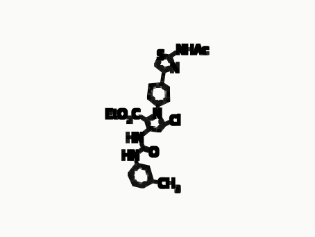 CCOC(=O)c1c(NC(=O)Nc2cccc(C)c2)cc(Cl)n1-c1ccc(-c2csc(NC(C)=O)n2)cc1